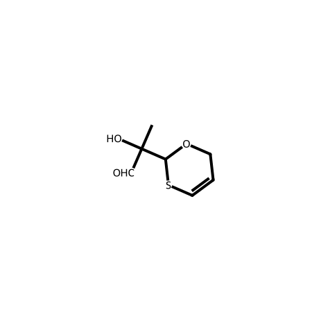 CC(O)(C=O)C1OCC=CS1